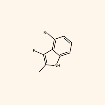 Fc1c(I)[nH]c2cccc(Br)c12